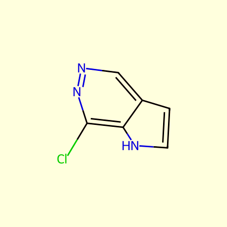 Clc1nncc2cc[nH]c12